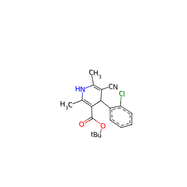 CC1=C(C#N)C(c2ccccc2Cl)C(C(=O)OC(C)(C)C)=C(C)N1